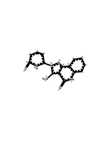 Nc1c2c(=O)[nH]c3ccccc3c2nn1-c1cccc(=O)[nH]1